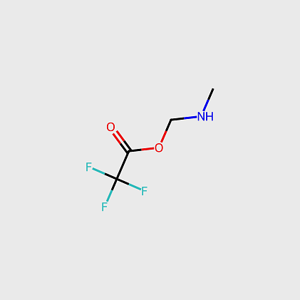 CNCOC(=O)C(F)(F)F